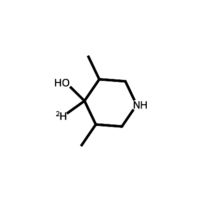 [2H]C1(O)C(C)CNCC1C